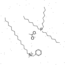 CC(=O)[O-].CCCCCCCCCCCCCCCC[N+](C)(C)Cc1ccccc1.CCCCCCCCP(CCCCCCCC)CCCCCCCC